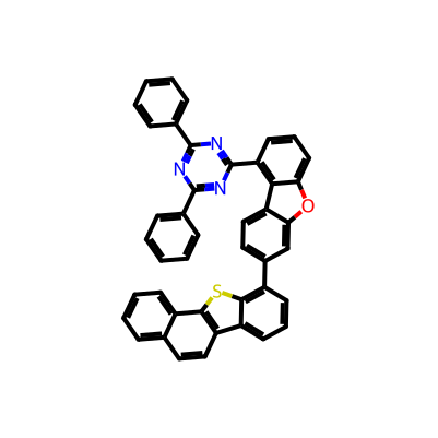 c1ccc(-c2nc(-c3ccccc3)nc(-c3cccc4oc5cc(-c6cccc7c6sc6c8ccccc8ccc76)ccc5c34)n2)cc1